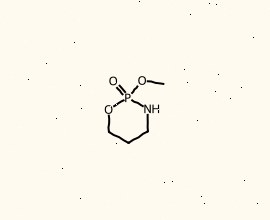 COP1(=O)NCCCO1